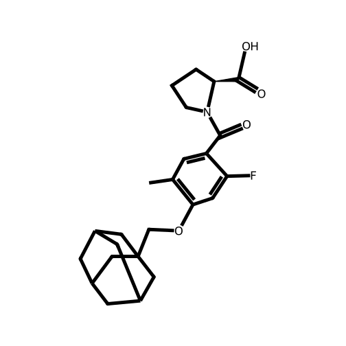 Cc1cc(C(=O)N2CCC[C@H]2C(=O)O)c(F)cc1OCC12CC3CC(CC(C3)C1)C2